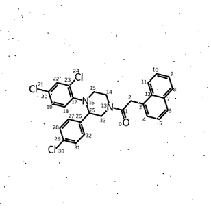 O=C(Cc1cccc2ccccc12)N1CCN(c2ccc(Cl)cc2Cl)C(c2ccc(Cl)cc2)C1